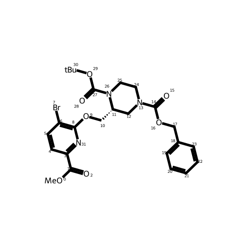 COC(=O)c1ccc(Br)c(OC[C@H]2CN(C(=O)OCc3ccccc3)CCN2C(=O)OC(C)(C)C)n1